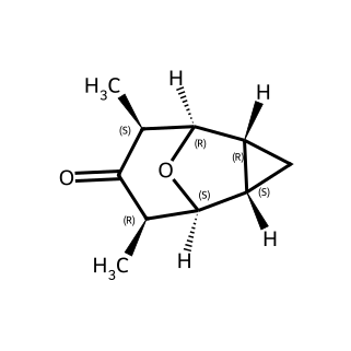 C[C@@H]1C(=O)[C@H](C)[C@H]2O[C@@H]1[C@@H]1C[C@@H]12